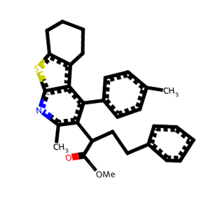 COC(=O)C(CCc1ccccc1)c1c(C)nc2sc3c(c2c1-c1ccc(C)cc1)CCCC3